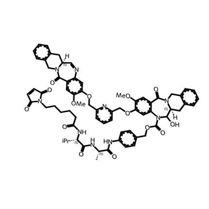 COc1cc2c(cc1OCc1cccc(COc3cc4c(cc3OC)C(=O)N3Cc5ccccc5C[C@H]3C(O)N4C(=O)OCc3ccc(NC(=O)[C@H](C)NC(=O)[C@@H](NC(=O)CCCCCN4C(=O)C=CC4=O)C(C)C)cc3)n1)N=C[C@@H]1Cc3ccccc3CN1C2=O